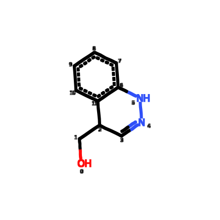 OCC1C=NNc2ccccc21